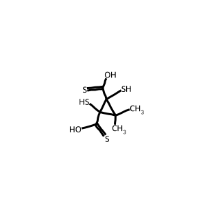 CC1(C)C(S)(C(O)=S)C1(S)C(O)=S